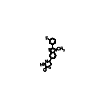 Cn1c(-c2cccc(F)c2)nc2cc(C3=NNC(=O)SC3)ccc21